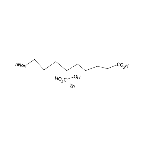 CCCCCCCCCCCCCCCCCC(=O)O.O=C(O)O.[Zn]